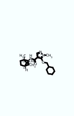 Cn1ncc(C(=O)N[C@H]2C[C@@H]3CC[C@@]2(C)C3(C)C)c1OCC1CCCCC1